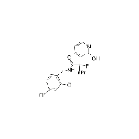 CCC[C@@](F)(C(=O)NCc1ccc(Cl)cc1Cl)c1cccnc1O